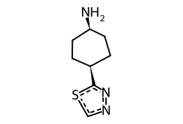 N[C@H]1CC[C@@H](c2nncs2)CC1